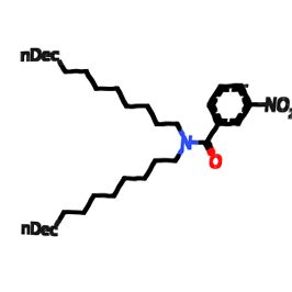 CCCCCCCCCCCCCCCCCCN(CCCCCCCCCCCCCCCCCC)C(=O)c1cc[c]c([N+](=O)[O-])c1